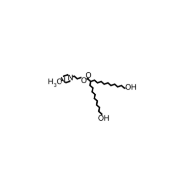 CN1CCN(CCCOC(=O)C(CCCCCCCCCCO)CCCCCCCCCCO)CC1